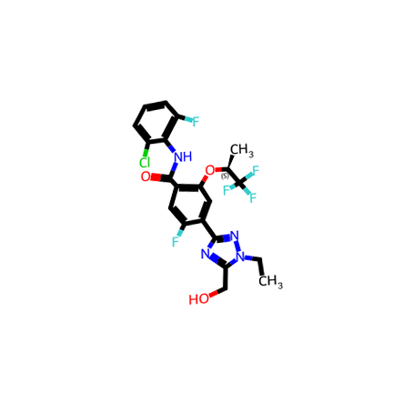 CCn1nc(-c2cc(O[C@@H](C)C(F)(F)F)c(C(=O)Nc3c(F)cccc3Cl)cc2F)nc1CO